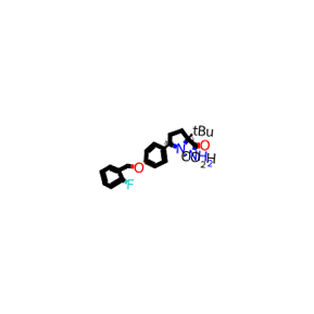 CC(C)(C)[C@]1(C(N)=O)CC[C@H](c2ccc(OCc3ccccc3F)cc2)N1C(=O)O